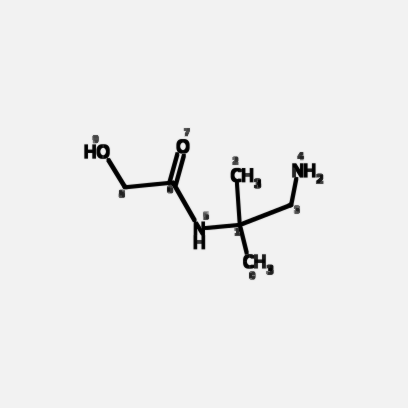 CC(C)(CN)NC(=O)CO